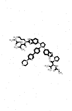 CCCCN(C(=O)[C@@H](NC(=O)OC)C(C)C)c1nc2cc([C@H]3CC[C@H](c4ccc5[nH]c([C@@H]6CCCN6C(=O)[C@@H](NC(=O)OC)C(C)C)nc5c4)N3c3ccc(-c4ccc(N5CCOCC5)nc4)cc3)ccc2[nH]1